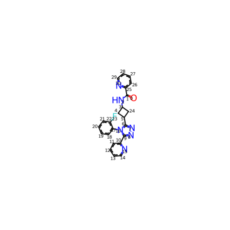 O=C(NC1CC(c2nnc(-c3ccccn3)n2-c2ccccc2F)C1)c1ccccn1